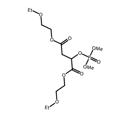 CCOCCOC(=O)CC(OP(=O)(OC)OC)C(=O)OCCOCC